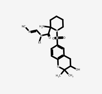 CCN(C=NC#N)C(=O)C1(N)CCCCN1S(=O)(=O)c1ccc2c(c1)CC(O)C(C)(C)O2